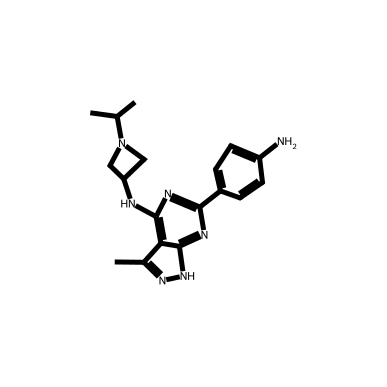 Cc1n[nH]c2nc(-c3ccc(N)cc3)nc(NC3CN(C(C)C)C3)c12